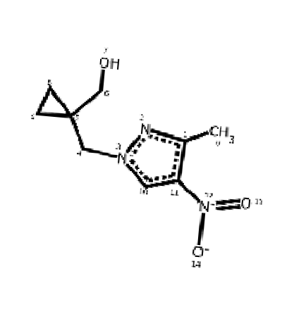 Cc1nn(CC2(CO)CC2)cc1[N+](=O)[O-]